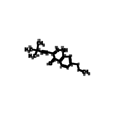 CCCc1ccc2c(=O)c(C#CC(C)(C)C)n[nH]c2c1